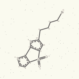 O=S1(=O)c2ccsc2-c2sc(CCCCBr)cc21